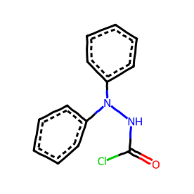 O=C(Cl)NN(c1ccccc1)c1ccccc1